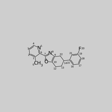 Cc1cccnc1-c1nc2c(o1)CCC(c1cccc(F)c1)C2